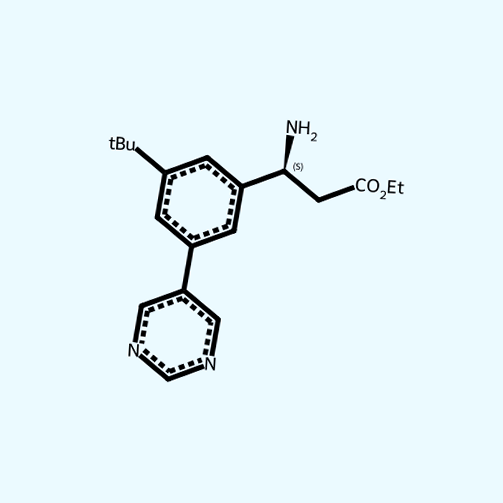 CCOC(=O)C[C@H](N)c1cc(-c2cncnc2)cc(C(C)(C)C)c1